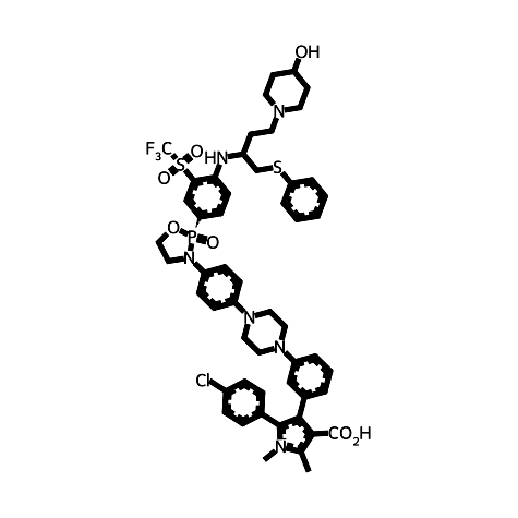 Cc1c(C(=O)O)c(-c2cccc(N3CCN(c4ccc(N5CCO[P@]5(=O)c5ccc(NC(CCN6CCC(O)CC6)CSc6ccccc6)c(S(=O)(=O)C(F)(F)F)c5)cc4)CC3)c2)c(-c2ccc(Cl)cc2)n1C